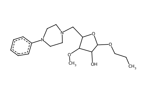 CCCOC1OC(CN2CCN(c3ccccc3)CC2)C(OC)C1O